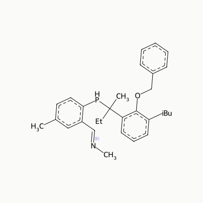 CCC(C)c1cccc(C(C)(CC)Pc2ccc(C)cc2/C=N/C)c1OCc1ccccc1